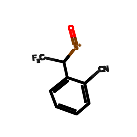 N#Cc1ccccc1C([S+]=O)C(F)(F)F